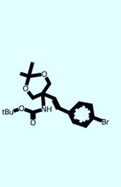 CC(C)(C)OC(=O)NC1(C=Cc2ccc(Br)cc2)COC(C)(C)OC1